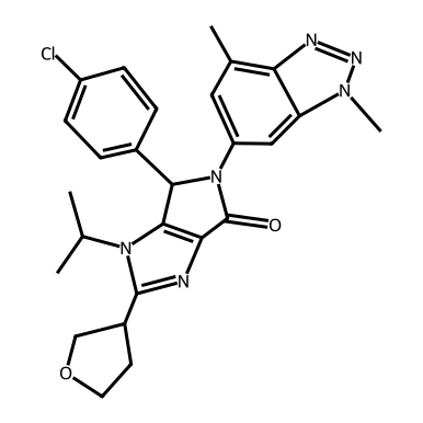 Cc1cc(N2C(=O)c3nc(C4CCOC4)n(C(C)C)c3C2c2ccc(Cl)cc2)cc2c1nnn2C